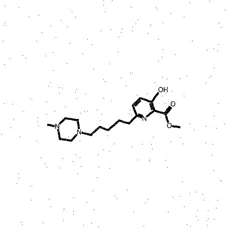 COC(=O)c1nc(CCCCCN2CCN(C)CC2)ccc1O